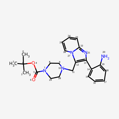 CC(C)(C)OC(=O)N1CCN(Cc2c(-c3ccccc3N)nc3ccccn23)CC1